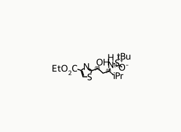 CCOC(=O)c1csc([C@H](O)C[C@@H](N[S@+]([O-])C(C)(C)C)C(C)C)n1